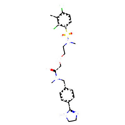 Cc1c(Cl)ccc(S(=O)(=O)N(C)CCOCC(=O)N(C)Cc2ccc(C3=NCCN3)cc2)c1Cl